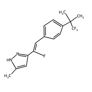 Cc1cc(/C(F)=C/c2ccc(C(C)(C)C(F)(F)F)cc2)n[nH]1